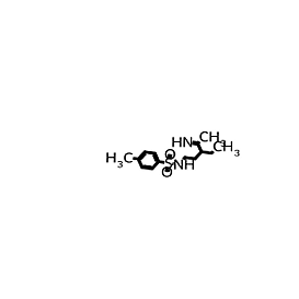 CCC(CCNS(=O)(=O)c1ccc(C)cc1)C(C)=N